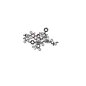 CCOC(C)(C)CC(=O)N[C@@H](C)C(=O)NCC(=O)N[C@@H](CC(N)=O)C(=O)Nc1ccc(COC(=O)N(C)C(C(=O)NCC(=O)N(C)C(C(C)CC)[C@@H](CC(=O)N2CCC[C@H]2[C@H](OC)[C@@H](C)C(=O)N[C@H](C)[C@@H](O)c2ccccc2)OC)C(C)C)cc1